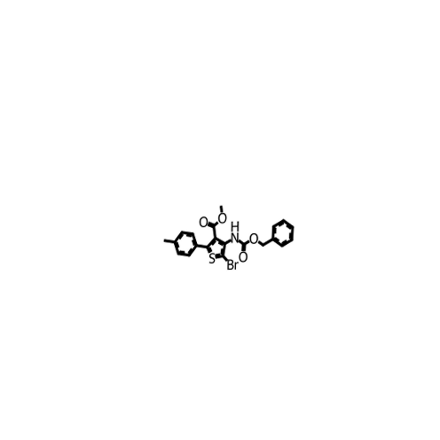 COC(=O)c1c(-c2ccc(C)cc2)sc(Br)c1NC(=O)OCc1ccccc1